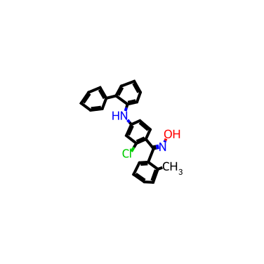 Cc1ccccc1C(=NO)c1ccc(Nc2ccccc2-c2ccccc2)cc1Cl